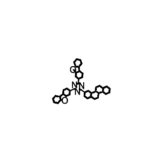 c1ccc2c(c1)ccc1c3cc(-c4nc(-c5ccc6c(c5)oc5ccccc56)nc(-c5ccc6c(c5)oc5ccccc56)n4)ccc3ccc21